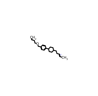 C=CCCOCc1ccc(C2CCC(CC/C=C/C)CC2)cc1